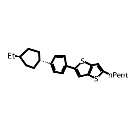 CCCCCc1cc2sc(-c3ccc([C@H]4CC[C@H](CC)CC4)cc3)cc2s1